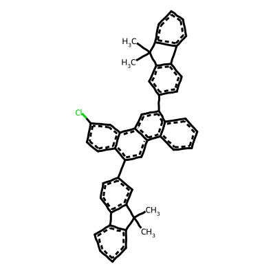 CC1(C)c2ccccc2-c2ccc(-c3cc4c5cc(Cl)ccc5c(-c5ccc6c(c5)C(C)(C)c5ccccc5-6)cc4c4ccccc34)cc21